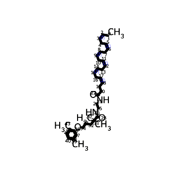 CC/C=C\C/C=C\C/C=C\C/C=C\C/C=C\C/C=C\CCC(=O)NCCNC(=O)C(C)(C)CCCOc1cc(C)ccc1C